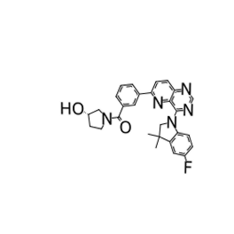 CC1(C)CN(c2ncnc3ccc(-c4cccc(C(=O)N5CC[C@H](O)C5)c4)nc23)c2ccc(F)cc21